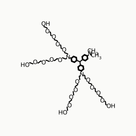 CN(C)c1ccc(C(c2ccc(N(CCOCCOCCOCCOCCO)CCOCCOCCOCCOCCO)cc2)c2ccc(N(CCOCCOCCOCCOCCO)CCOCCOCCOCCOCCO)cc2)cc1